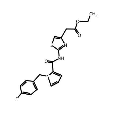 CCOC(=O)Cc1csc(NC(=O)c2cccn2Cc2ccc(F)cc2)n1